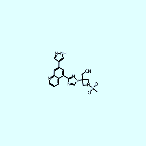 CS(=O)(=O)N1CC(CC#N)(n2cnc(-c3cc(-c4cn[nH]c4)cc4ncccc34)n2)C1